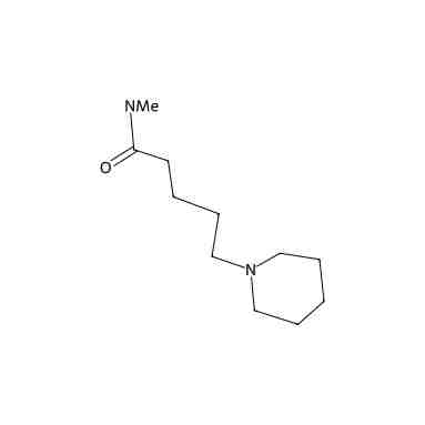 CNC(=O)CCCCN1CCCCC1